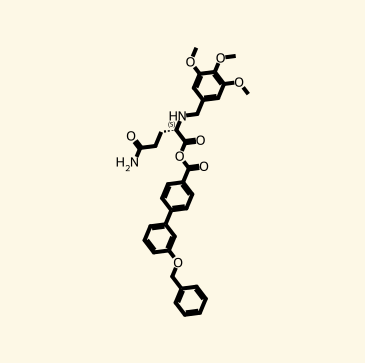 COc1cc(CN[C@@H](CCC(N)=O)C(=O)OC(=O)c2ccc(-c3cccc(OCc4ccccc4)c3)cc2)cc(OC)c1OC